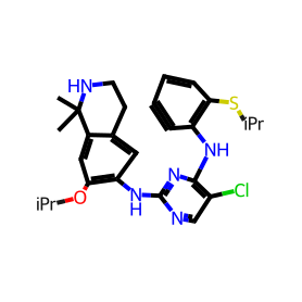 CC(C)Oc1cc2c(cc1Nc1ncc(Cl)c(Nc3c#cccc3SC(C)C)n1)CCNC2(C)C